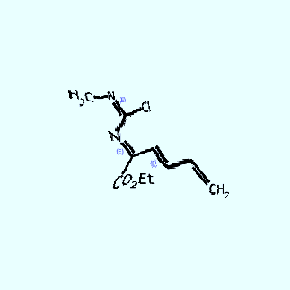 C=C/C=C/C(=N\C(Cl)=N/C)C(=O)OCC